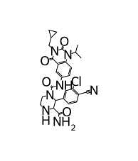 CC(C)n1c(=O)n(CC2CC2)c(=O)c2cc(NC(=O)N3CCNC(C(N)=O)C3c3ccc(C#N)c(Cl)c3)ccc21